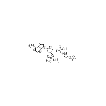 CCOC(=O)CNCP(=O)(O)OC[C@H]1O[C@@H](n2cnc3c(N)ncnc32)C[C@@H]1OP(N)(=O)O